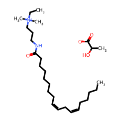 CC(O)C(=O)[O-].CCCCC/C=C\C/C=C\CCCCCCCC(=O)NCCC[N+](C)(C)CC